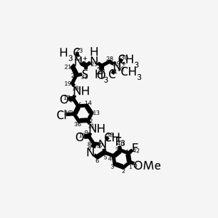 COc1ccc(-c2cnc(C(=O)Nc3ccc(C(=O)NCc4c[n+](C)c(NC(=O)C[N+](C)(C)C)s4)c(Cl)c3)n2C)c(F)c1F